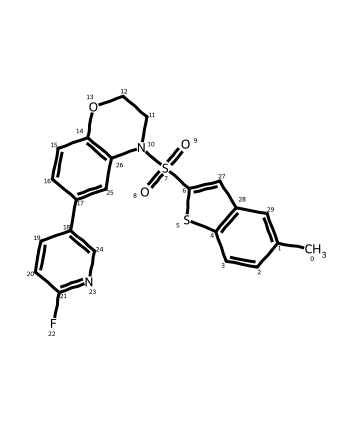 Cc1ccc2sc(S(=O)(=O)N3CCOc4ccc(-c5ccc(F)nc5)cc43)cc2c1